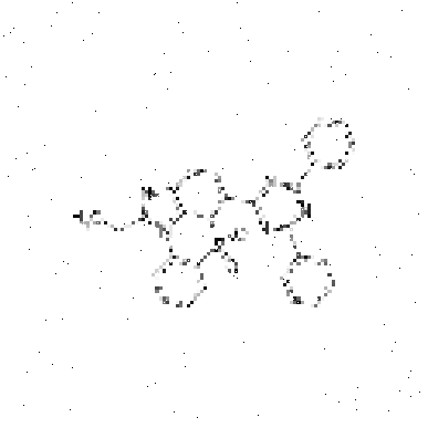 CCc1nc2ccc(-c3nc(-c4ccccc4)nc(-c4ccccc4)n3)c3c2n1-c1ccccc1S3(=O)=O